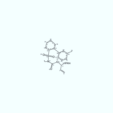 C=CC(CCCCCC)OC(=O)N(C)S(=O)(=O)c1ccccc1-c1cccc(C)c1